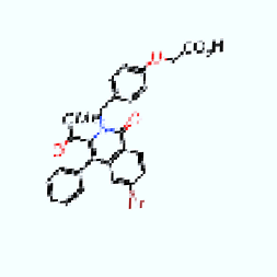 COC(=O)c1c(-c2ccccc2)c2cc(Br)ccc2c(=O)n1Cc1ccc(OCC(=O)O)cc1